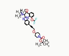 CCC(c1nc2ccc(C#CCOC3CCN(C(=O)OC(C)(C)C)CC3)cc2n1-c1c(C=O)cccc1OC(F)F)N(C)C